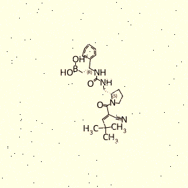 CC(C)(C)C=C(C#N)C(=O)N1CCC[C@H]1CNC(=O)N[C@H](CB(O)O)c1ccccc1